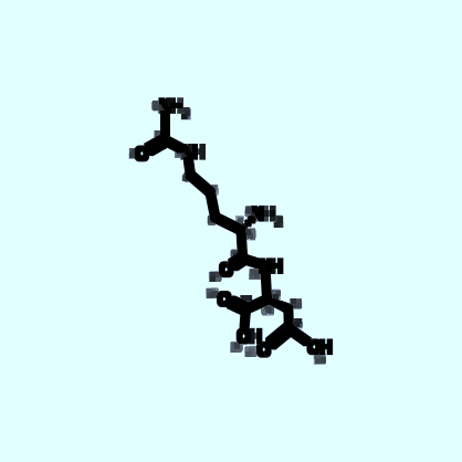 NC(=O)NCCC[C@H](N)C(=O)N[C@@H](CC(=O)O)C(=O)O